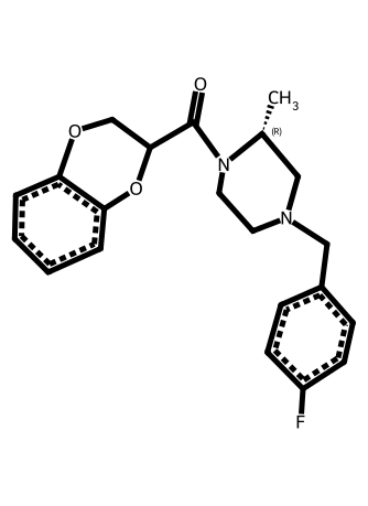 C[C@@H]1CN(Cc2ccc(F)cc2)CCN1C(=O)C1COc2ccccc2O1